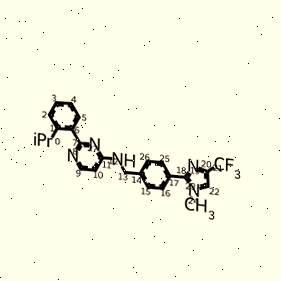 CC(C)c1ccccc1-c1nccc(NCc2ccc(-c3nc(C(F)(F)F)cn3C)cc2)n1